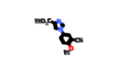 CCOC(=O)c1cn(-c2ccc(OCC)c(C#N)c2)cn1